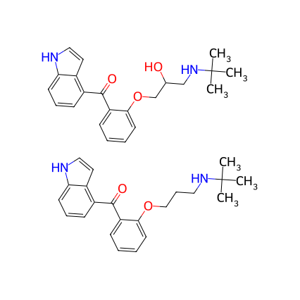 CC(C)(C)NCC(O)COc1ccccc1C(=O)c1cccc2[nH]ccc12.CC(C)(C)NCCCOc1ccccc1C(=O)c1cccc2[nH]ccc12